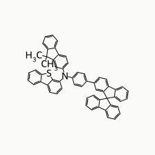 CC1(C)c2ccccc2-c2ccc(N(c3ccc(-c4ccc5c(c4)C4(c6ccccc6-c6ccccc64)c4ccccc4-5)cc3)c3cccc4c3sc3ccccc34)cc21